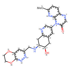 COc1ccc2ncc(=O)n(-c3cnc4c(c3)C[C@@H](O)[C@@H](NCc3cc5c(nn3)OCCO5)C4)c2n1